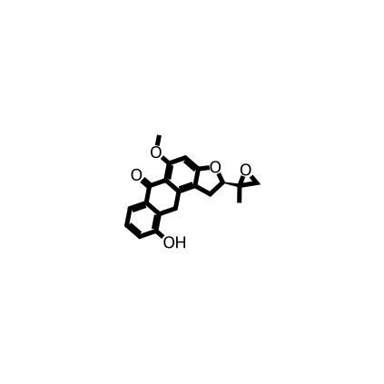 COc1cc2c(c3c1C(=O)c1cccc(O)c1C3)C[C@H](C1(C)CO1)O2